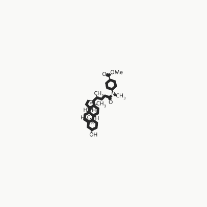 COC(=O)[C@H]1CC[C@@H](N(C)C(=O)CC[C@@H](C)[C@H]2CC[C@H]3[C@@H]4CC=C5C[C@@H](O)CC[C@]5(C)[C@H]4CC[C@]23C)CC1